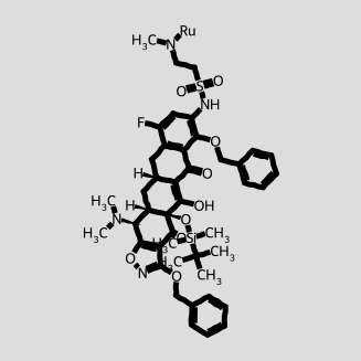 C[N]([Ru])CCS(=O)(=O)Nc1cc(F)c2c(c1OCc1ccccc1)C(=O)C1=C(O)[C@]3(O[Si](C)(C)C(C)(C)C)C(=O)c4c(OCc5ccccc5)noc4[C@@H](N(C)C)[C@@H]3C[C@@H]1C2